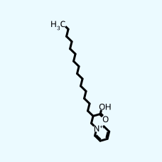 CCCCCCCCCCCCCCCC(C[n+]1ccccc1)C(=O)O